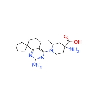 CC1CC(N)(C(=O)O)CCN1c1nc(N)nc2c1CCCC21CCCC1